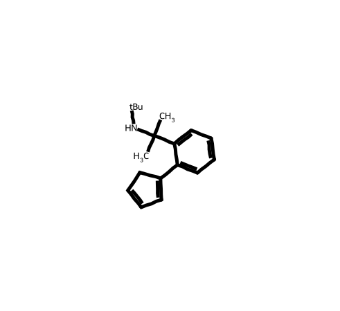 CC(C)(C)NC(C)(C)c1ccccc1C1=CC=CC1